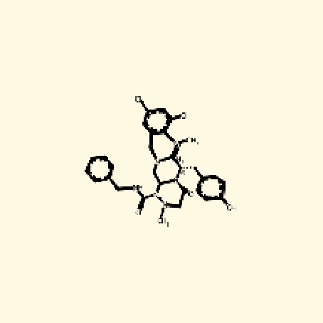 CN(C)c1c(Cl)cc(Cl)cc1CN1CC2N(C(=O)CN(C)N2C(=O)NCc2ccccc2)[C@@H](Cc2ccc(O)cc2)C1=O